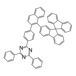 c1ccc(-c2nc(-c3ccccc3)nc(-c3ccc(-c4ccc5ccccc5c4-c4ccc5c(c4)C4(c6ccccc6-c6ccccc64)c4ccccc4-5)cc3)n2)cc1